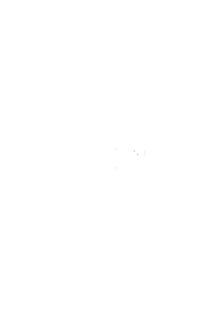 CCCc1c(F)cc(N)cc1F